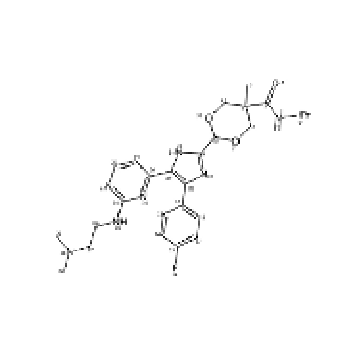 CC(C)NC(=O)C1(C)COC(c2nc(-c3ccc(F)cc3)c(-c3ccnc(NCCN(C)C)n3)[nH]2)OC1